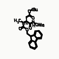 CONC(=O)[C@H](CC(=O)OC(C)(C)C)N(C)C(=O)OCC1c2ccccc2-c2ccccc21